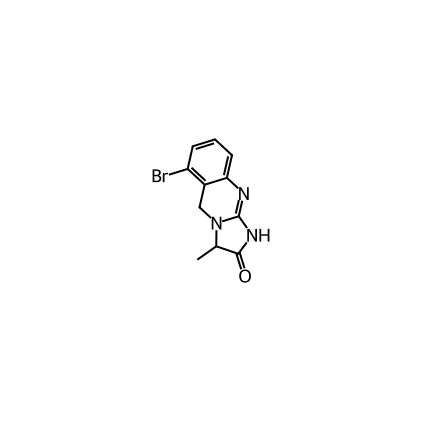 CC1C(=O)NC2=Nc3cccc(Br)c3CN21